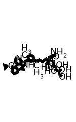 Cc1ccc(C(C)CCCC(=O)N(CC(N)=O)CC(O)C(O)C(O)C(O)CO)cc1CNC1(c2cnccc2-c2ccccc2OC2CC2)CC1